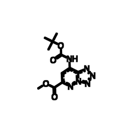 COC(=O)c1cc(NC(=O)OC(C)(C)C)c2nnnn2n1